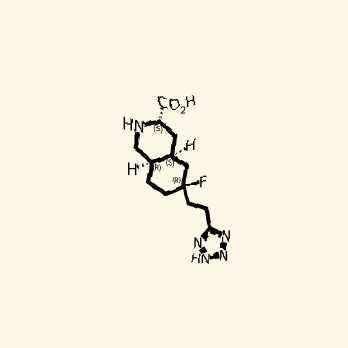 O=C(O)[C@@H]1C[C@H]2C[C@](F)(CCc3nn[nH]n3)CC[C@H]2CN1